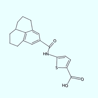 O=C(Nc1ccc(C(=O)O)s1)c1cc2c3c(c1)CCCC3CCC2